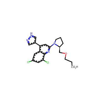 O=C(O)CCOC[C@@H]1CCCN1c1cc(-c2cn[nH]c2)c2cc(Cl)cc(Cl)c2n1